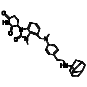 CN(Cc1cccc2c1n(C)c(=O)n2C1CCC(=O)NC1=O)c1ccc(CCNC23CC4CC(CC(C4)C2)C3)cc1